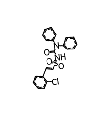 O=C(NS(=O)(=O)C=Cc1ccccc1Cl)N(c1ccccc1)c1ccccc1